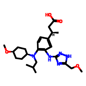 COCc1nc(Nc2cc([C@H](C)CC(=O)O)ccc2N(CC(C)C)[C@H]2CC[C@@H](OC)CC2)n[nH]1